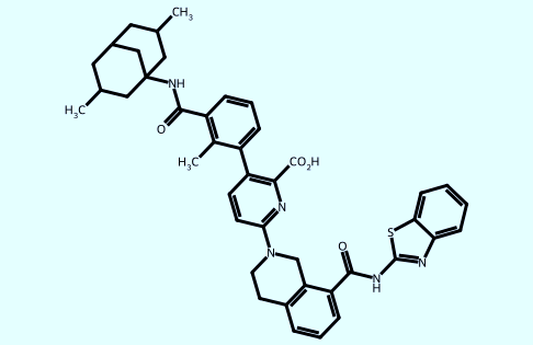 Cc1c(C(=O)NC23CC(C)CC(CC(C)C2)C3)cccc1-c1ccc(N2CCc3cccc(C(=O)Nc4nc5ccccc5s4)c3C2)nc1C(=O)O